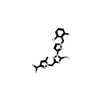 Cc1cc(C(F)F)nn1CC1=NN(c2ccn(Cc3c(F)cccc3Cl)n2)C(N)S1